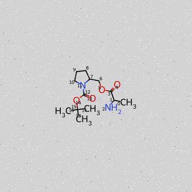 CC(N)C(=O)OCC1CCCN1C(=O)OC(C)(C)C